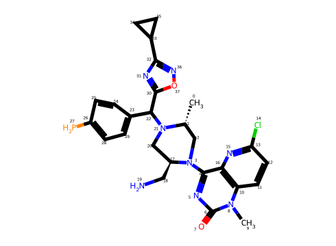 C[C@@H]1CN(c2nc(=O)n(C)c3ccc(Cl)nc23)[C@@H](CN)CN1C(c1ccc(P)cc1)c1nc(C2CC2)no1